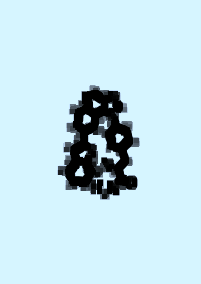 NC(=O)[C@H](N)Cc1ccc(-n2cnc3cnc4ccc(-c5cc6ccccc6s5)cc4c32)cc1